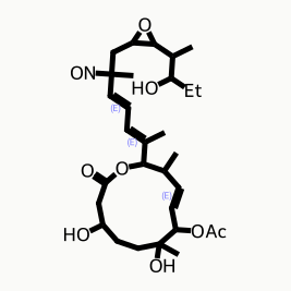 CCC(O)C(C)C1OC1CC(C)(/C=C/C=C(\C)C1OC(=O)CC(O)CCC(C)(O)C(OC(C)=O)/C=C/C1C)N=O